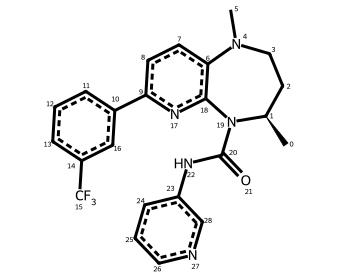 C[C@@H]1CCN(C)c2ccc(-c3cccc(C(F)(F)F)c3)nc2N1C(=O)Nc1cccnc1